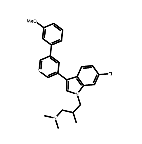 COc1cccc(-c2cncc(-c3cn(CC(C)CN(C)C)c4cc(Cl)ccc34)c2)c1